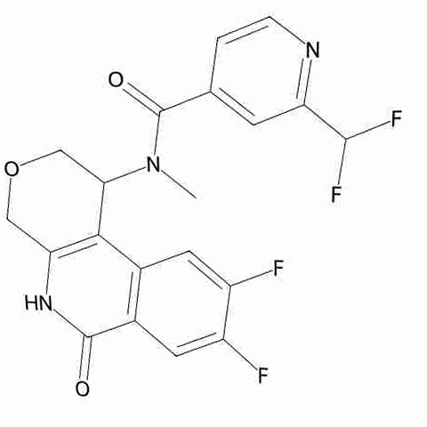 CN(C(=O)c1ccnc(C(F)F)c1)C1COCc2[nH]c(=O)c3cc(F)c(F)cc3c21